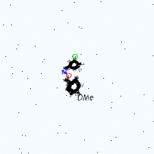 COc1ccc(CO/N=[C]\c2cccc(Cl)c2)cc1